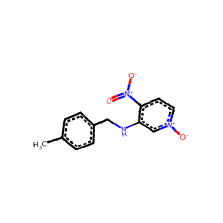 Cc1ccc(CNc2c[n+]([O-])ccc2[N+](=O)[O-])cc1